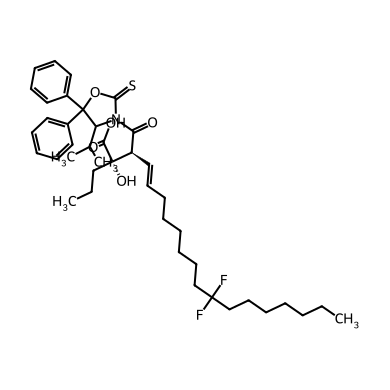 CCCCCCCC(F)(F)CCCCCCC=C[C@H](C(=O)N1C(=S)OC(c2ccccc2)(c2ccccc2)C1C(C)C)[C@@](O)(CCC)C(=O)O